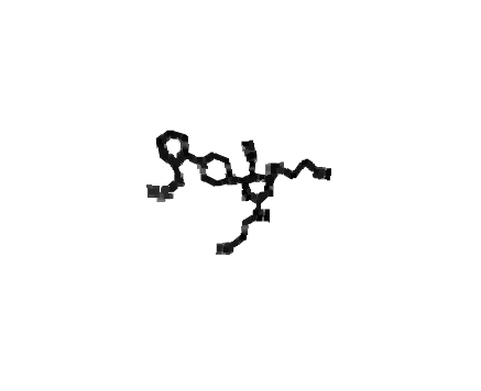 CSc1ccccc1N1CCN(c2nc(NCCO)nc(NCCO)c2C#N)CC1